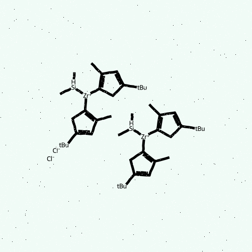 CC1=[C]([Zr+]([C]2=C(C)C=C(C(C)(C)C)C2)[SiH](C)C)CC(C(C)(C)C)=C1.CC1=[C]([Zr+]([C]2=C(C)C=C(C(C)(C)C)C2)[SiH](C)C)CC(C(C)(C)C)=C1.[Cl-].[Cl-]